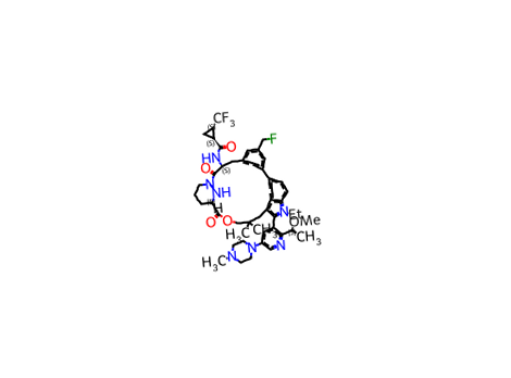 CCn1c(-c2cc(N3CCN(C)CC3)cnc2[C@H](C)OC)c2c3cc(ccc31)-c1cc(CF)cc(c1)C[C@H](NC(=O)[C@H]1C[C@@H]1C(F)(F)F)C(=O)N1CCC[C@H](N1)C(=O)OCC(C)(C)C2